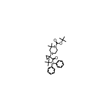 CC(C)(C)OC(=O)N1CCN(C2(C(=O)[Si](c3ccccc3)(c3ccccc3)C(C)(C)C)CC2)CC1(C)C